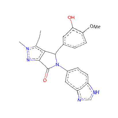 COc1ccc(C2c3c(nn(C)c3C)C(=O)N2c2ccc3[nH]cnc3c2)cc1O